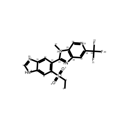 CCS(=O)(=O)c1cc2[nH]cnc2cc1-c1nc2cc(C(F)(F)F)ncc2n1C